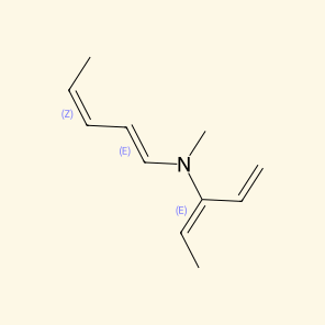 C=C/C(=C\C)N(C)/C=C/C=C\C